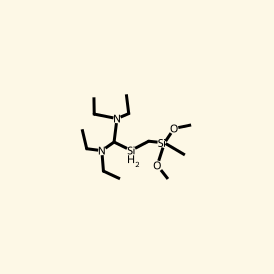 CCN(CC)C([SiH2]C[Si](C)(OC)OC)N(CC)CC